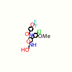 COc1cc2c(CC(=O)NCCO)c(C)n(C(=O)c3ccc(OC(F)F)cc3)c2cc1Cl